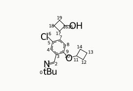 CC(C)(C)N=Cc1cc(Cl)ccc1OC1CCC1.OC1CCC1